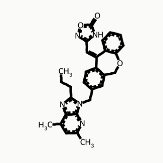 CCCc1nc2c(C)cc(C)nc2n1Cc1ccc2c(c1)COc1ccccc1C2=Cc1noc(=O)[nH]1